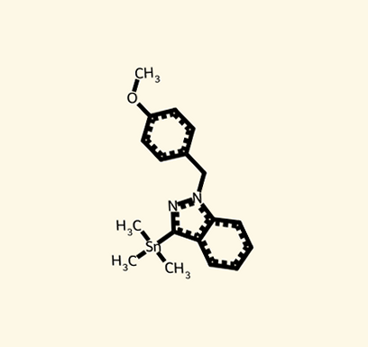 COc1ccc(Cn2n[c]([Sn]([CH3])([CH3])[CH3])c3ccccc32)cc1